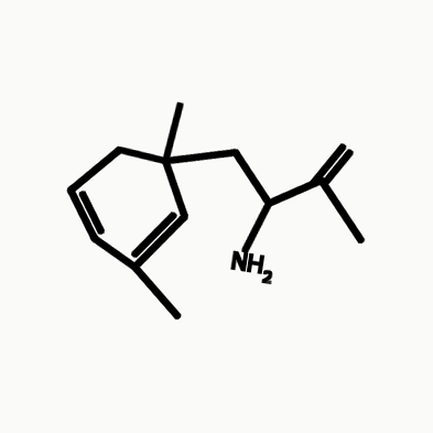 C=C(C)C(N)CC1(C)C=C(C)C=CC1